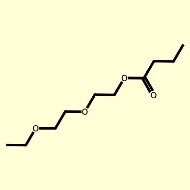 CCCC(=O)OCCOCCOCC